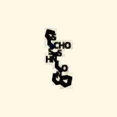 O=C/C(=C\c1cccs1)SC(=S)NCCC(=O)N1CCCc2ccccc21